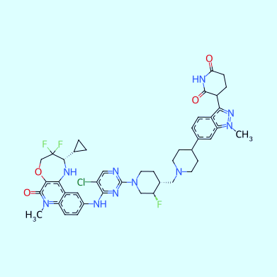 Cn1nc(C2CCC(=O)NC2=O)c2ccc(C3CCN(C[C@H]4CCN(c5ncc(Cl)c(Nc6ccc7c(c6)c6c(c(=O)n7C)OCC(F)(F)[C@H](C7CC7)N6)n5)C[C@@H]4F)CC3)cc21